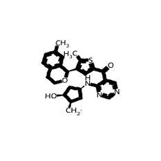 [CH2][C@@H]1C[C@@H](Nc2ncncc2C(=O)c2cc([C@H]3OCCc4ccc(C)cc43)c(C)s2)C[C@@H]1O